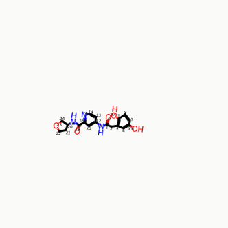 O=C(Cc1cc(O)ccc1O)Nc1ccnc(C(=O)NC2CCOC2)c1